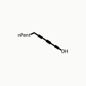 CCCCCCC#CC#CC#CO